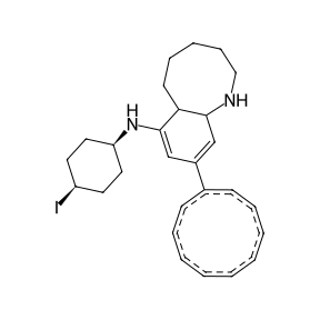 I[C@H]1CC[C@@H](NC2=CC(c3ccccccccc3)=CC3NCCCCCC23)CC1